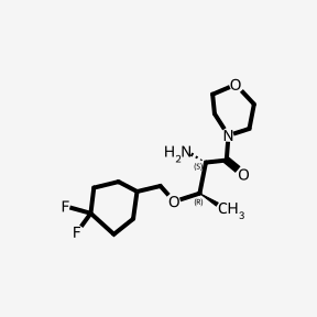 C[C@@H](OCC1CCC(F)(F)CC1)[C@H](N)C(=O)N1CCOCC1